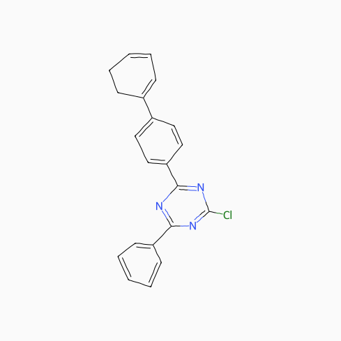 Clc1nc(-c2ccccc2)nc(-c2ccc(C3=CC=CCC3)cc2)n1